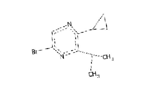 CC(C)c1nc(Br)cnc1C1CC1